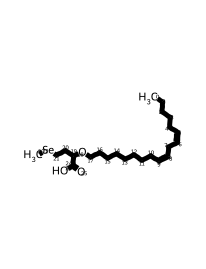 CCCCC/C=C\C/C=C\CCCCCCCCOC(CC[Se]C)C(=O)O